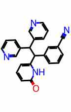 N#Cc1cccc(C(c2cccc(=O)[nH]2)C(c2cccnc2)c2cccnc2)c1